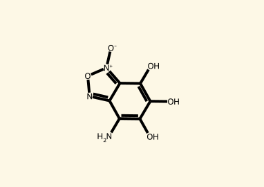 Nc1c(O)c(O)c(O)c2c1no[n+]2[O-]